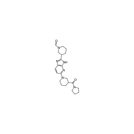 O=CN1CCCC(c2nc3ccc(N4CCCC(C(=O)N5CCCC5)C4)nc3[nH]2)C1